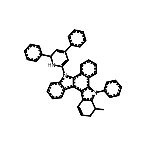 CC1CC=Cc2c1n(-c1ccccc1)c1c3ccccc3c3c(c4ccccc4n3C3=CC(c4ccccc4)=CC(c4ccccc4)N3)c21